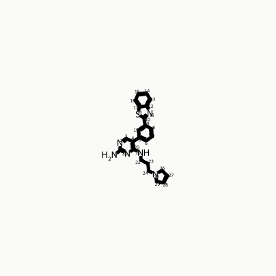 Nc1ncc(-c2cccc(-c3nc4ccccc4s3)c2)c(NCCCN2CC=CC2)n1